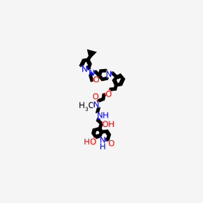 CN(CCNCC(O)c1ccc(O)c2[nH]c(=O)ccc12)C(=O)CCOCCc1cccc(CN2CCC3(CC2)CN(c2cc(C4CC4)ccn2)CCO3)c1